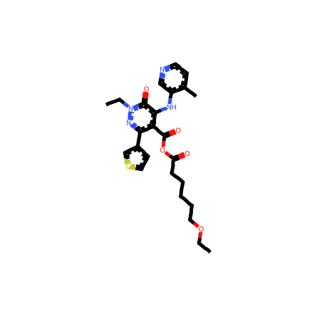 CCOCCCCCC(=O)OC(=O)c1c(-c2ccsc2)nn(CC)c(=O)c1Nc1cnccc1C